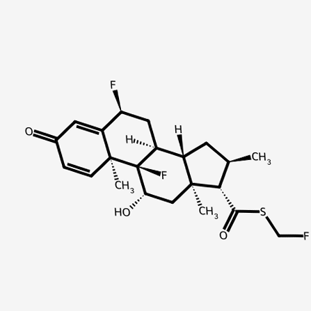 C[C@@H]1C[C@H]2[C@@H]3C[C@H](F)C4=CC(=O)C=C[C@]4(C)[C@@]3(F)[C@@H](O)C[C@]2(C)[C@H]1C(=O)SCF